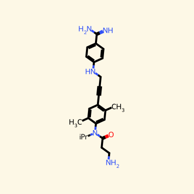 Cc1cc(N(C(=O)CCN)C(C)C)c(C)cc1C#CCNc1ccc(C(=N)N)cc1